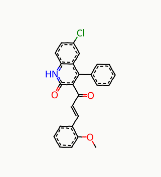 COc1ccccc1C=CC(=O)c1c(-c2ccccc2)c2cc(Cl)ccc2[nH]c1=O